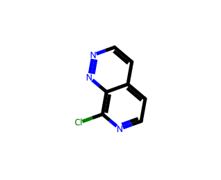 Clc1nccc2ccnnc12